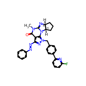 CN1C(=O)c2c(N=Nc3ccccc3)nn(Cc3ccc(-c4cccc(F)n4)cc3)c2N2C1=N[C@@H]1CCC[C@@H]12